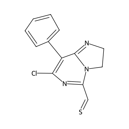 S=CC1=NC(Cl)=C(c2ccccc2)C2=NCCN12